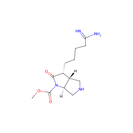 COC(=O)N1C(=O)[C@H](CCCCC(=N)N)[C@@H]2CNC[C@H]21